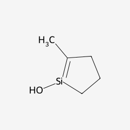 CC1=[Si](O)CCC1